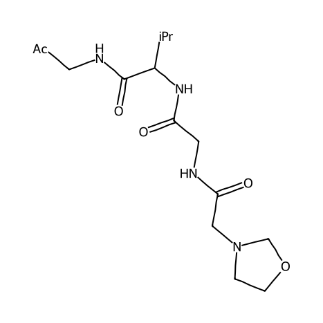 CC(=O)CNC(=O)C(NC(=O)CNC(=O)CN1CCOC1)C(C)C